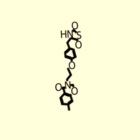 Cc1ccc2c(c1)OCN(CCCOc1ccc(CC3NC(=O)SC3=O)cc1)C2=O